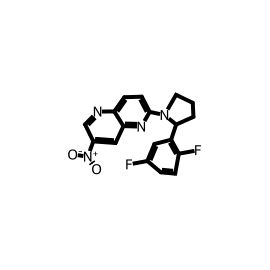 O=[N+]([O-])c1cnc2ccc(N3CCCC3c3cc(F)ccc3F)nc2c1